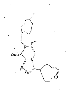 Cc1cn2c(C3CCOCC3)nnc2c(=O)n1C[C@H]1CC[C@@H](C)CC1